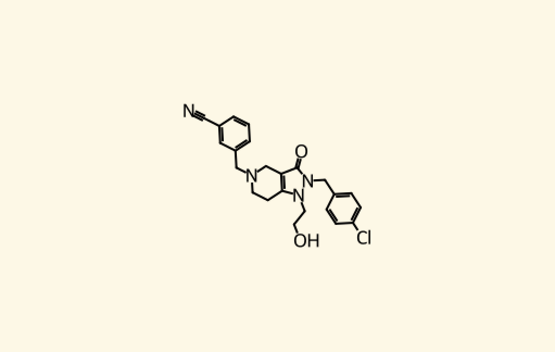 N#Cc1cccc(CN2CCc3c(c(=O)n(Cc4ccc(Cl)cc4)n3CCO)C2)c1